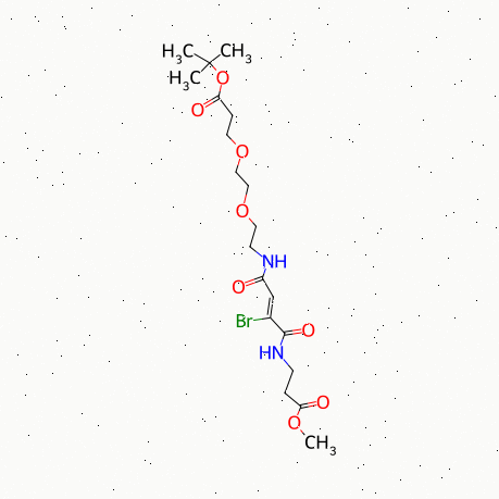 COC(=O)CCNC(=O)C(Br)=CC(=O)NCCOCCOCCC(=O)OC(C)(C)C